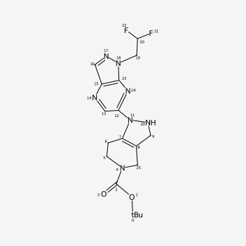 CC(C)(C)OC(=O)N1CCC2=C(CNN2c2cnc3cnn(CC(F)F)c3n2)C1